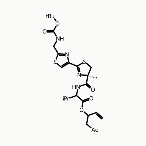 C=CC(CC(C)=O)OC(=O)C(NC(=O)[C@]1(C)CSC(c2csc(CNC(=O)OC(C)(C)C)n2)=N1)C(C)C